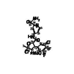 COc1c([C@H]2[C@@H](C)[C@@](C)(C(F)(F)F)O[C@H]2C(=O)Nc2ccnc(C(N)=O)c2)cc(Cl)c(F)c1F